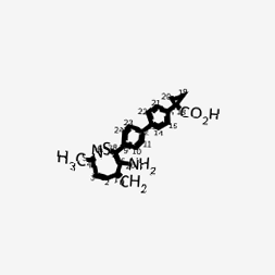 C=C1/C=C\C(C)=N/S/C(c2ccc(-c3ccc(C4(C(=O)O)CC4)cc3)cc2)=C\1N